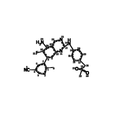 Cc1ccc(C#N)cc1-c1cc2nc(Nc3ccc(CS(C)(=O)=O)cc3)ncc2c(N)c1F